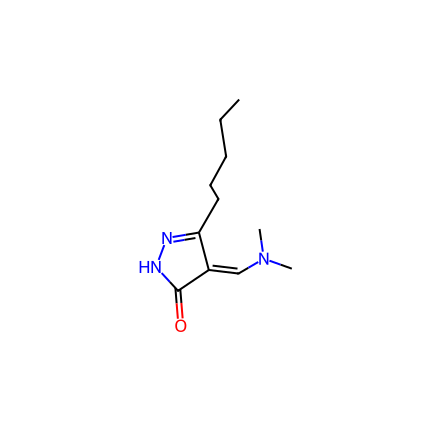 CCCCCC1=NNC(=O)/C1=C/N(C)C